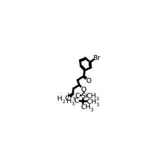 C=CCC(CC(=O)c1cccc(Br)c1)O[Si](C)(C)C(C)(C)C